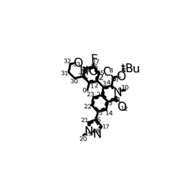 Cc1c(-c2c([C@H](OC(C)(C)C)C(=O)O)n(C)c(=O)c3cc(-c4cnn(C)c4)ccc23)cc(F)c2c1CCCO2